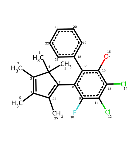 CC1=C(C)C(C)(C)C(c2c(F)c(Cl)c(Cl)c([O])c2-c2ccccc2)=C1C